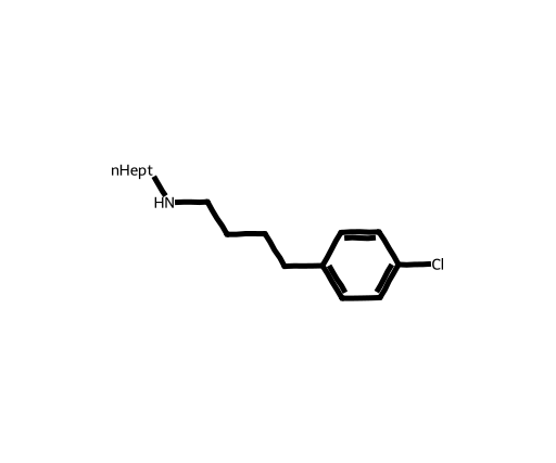 CCCCCCCNCCCCc1ccc(Cl)cc1